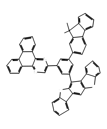 CC1(C)c2ccccc2-c2ccc(-c3cc(-c4cnc5c6ccccc6c6ccccc6c5n4)cc(-c4c5oc6ccccc6c5cc5oc6ccccc6c45)c3)cc21